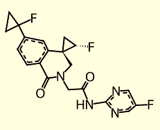 O=C(CN1C[C@]2(C[C@@H]2F)c2cc(C3(F)CC3)ccc2C1=O)Nc1ncc(F)cn1